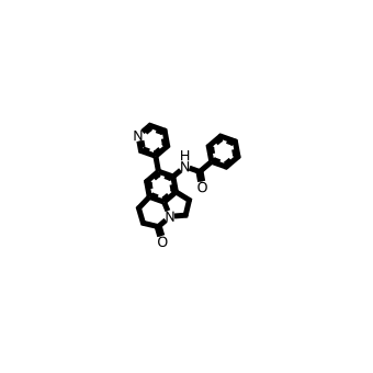 O=C(Nc1c(-c2cccnc2)cc2c3c1CCN3C(=O)CC2)c1ccccc1